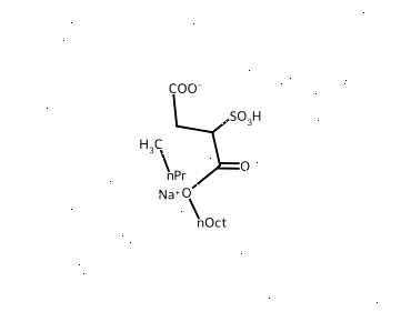 CCCC.CCCCCCCCOC(=O)C(CC(=O)[O-])S(=O)(=O)O.[Na+]